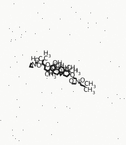 CC(C)CC(=O)N1CCOC(OC2CCC34CC35CCC3(C)[C@@H]6C(OC([C@H](OC(=O)N7CCC7)C(C)C)C[C@H]6C)[C@H](O)[C@@]3(C)C5CC[C@H]4C2(C)C)C1